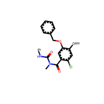 COc1cc(Cl)c(C(=O)N(C)C(=O)NC(C)C)cc1OCc1ccccc1